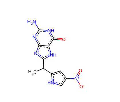 CC(c1cc([N+](=O)[O-])c[nH]1)c1nc2nc(N)[nH]c(=O)c2[nH]1